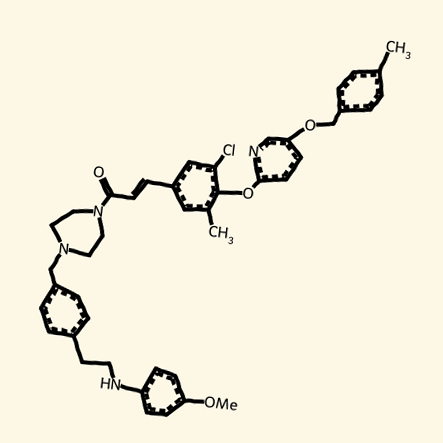 COc1ccc(NCCc2ccc(CN3CCN(C(=O)C=Cc4cc(C)c(Oc5ccc(OCc6ccc(C)cc6)cn5)c(Cl)c4)CC3)cc2)cc1